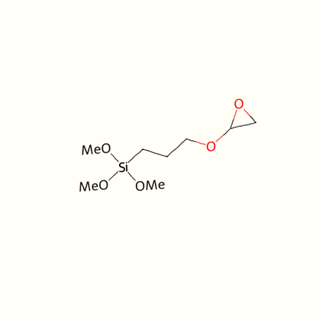 CO[Si](CCCOC1CO1)(OC)OC